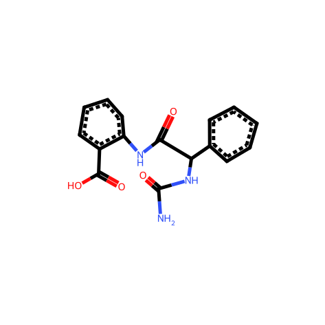 NC(=O)NC(C(=O)Nc1ccccc1C(=O)O)c1ccccc1